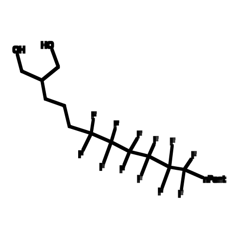 CCCCCC(F)(F)C(F)(F)C(F)(F)C(F)(F)C(F)(F)C(F)(F)CCCC(CO)CO